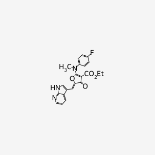 CCOC(=O)C1=C(N(C)c2ccc(F)cc2)O/C(=C\c2c[nH]c3ncccc23)C1=O